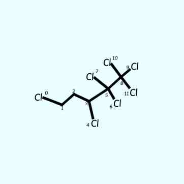 ClCCC(Cl)C(Cl)(Cl)C(Cl)(Cl)Cl